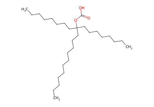 CCCCCCCCCCCC(CCCCCCCC)(CCCCCCCC)OC(=O)O